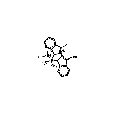 CCCCC1=C(C)[CH]([Hf]([CH3])([CH3])([CH]2C(C)=C(CCCC)c3ccccc32)[SiH](C)C)c2ccccc21